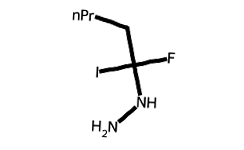 CCCCC(F)(I)NN